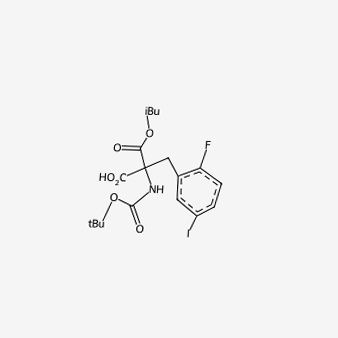 CCC(C)OC(=O)C(Cc1cc(I)ccc1F)(NC(=O)OC(C)(C)C)C(=O)O